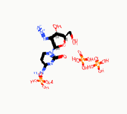 O=P(O)(O)O.O=P(O)(O)O.O=P(O)(O)O.[N-]=[N+]=NC1[C@H](n2ccc(N)nc2=O)O[C@H](CO)[C@H]1O